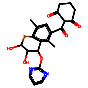 Cc1cc(C(=O)C2C(=O)CCCC2=O)c(C)c2c1SC(O)C(O)C2Oc1ncccn1